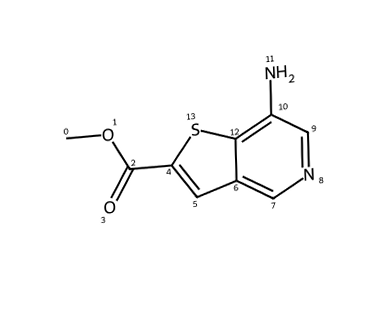 COC(=O)c1cc2cncc(N)c2s1